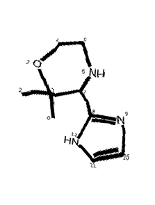 CC1(C)OCCNC1c1ncc[nH]1